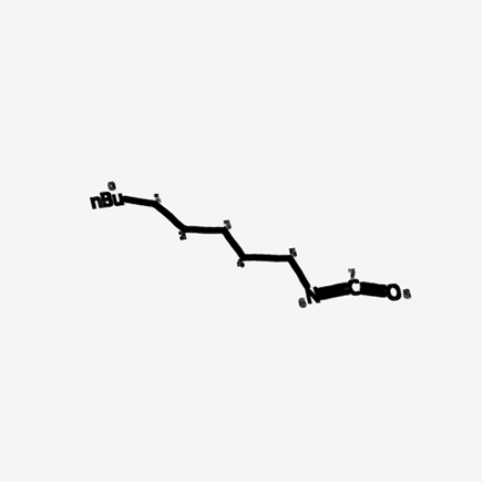 [CH2]CCCCCCCCN=C=O